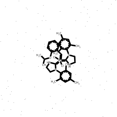 Cc1cc(C)c(N2CCN[C]2=[Ru]([Cl])([Cl])(=[CH]c2ccccc2OC(C)C)=[C]2NCCN2c2c(C)cc(C)cc2C)c(C)c1